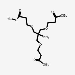 CC(C)COC(=O)CCOCC(N)(COCCC(=O)OCC(C)C)COCCC(=O)OC(C)(C)C